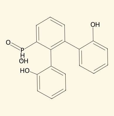 O=[PH](O)c1cccc(-c2ccccc2O)c1-c1ccccc1O